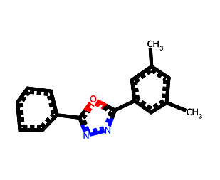 Cc1cc(C)cc(-c2nnc(-c3ccccc3)o2)c1